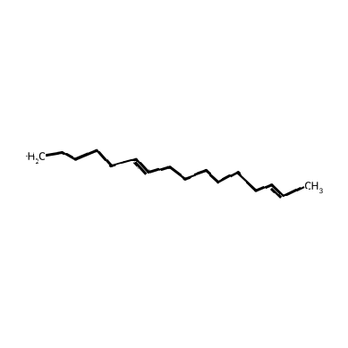 [CH2]CCCCC=CCCCCCCC=CC